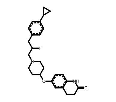 O=C1CCc2cc(OC3CCN(CC(F)Cc4ccc(C5CC5)cc4)CC3)ccc2N1